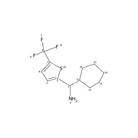 NC(c1ccc(C(F)(F)F)s1)C1CCCCC1